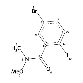 CON(C)C(=O)c1cc(Br)ccc1I